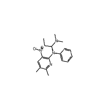 CCC(N(C)C)N(c1ccccc1)c1nc(C)c(C)cc1[N+](=O)[O-]